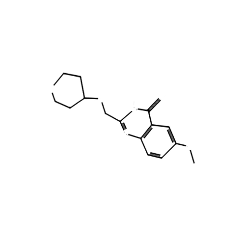 COc1ccc2nc(CSC3CCOCC3)[nH]c(=O)c2c1